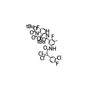 Cc1cc(NC(=O)C2C(c3ccc(F)c(Cl)c3)C2(Cl)Cl)cc(C(=O)Nc2ccc(F)c(N(C(=O)OC(C)(C)C)C(=O)OC(C)(C)C)c2F)c1F